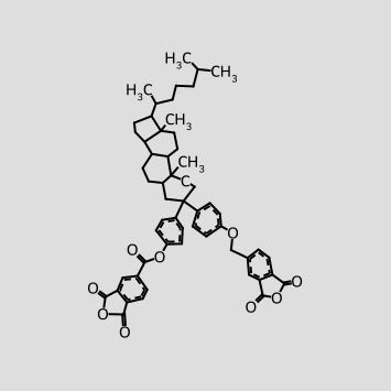 CC(C)CCCC(C)C1CCC2C3CCC4CC(c5ccc(OCc6ccc7c(c6)C(=O)OC7=O)cc5)(c5ccc(OC(=O)c6ccc7c(c6)C(=O)OC7=O)cc5)CCC4(C)C3CCC12C